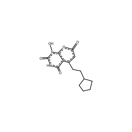 O=c1cc(CCC2CCCC2)c2c(=O)[nH]c(=O)n(O)c2o1